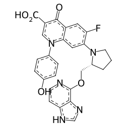 O=C(O)c1cn(-c2ccc(O)cc2)c2cc(N3CCC[C@@H]3COc3nccc4[nH]cnc34)c(F)cc2c1=O